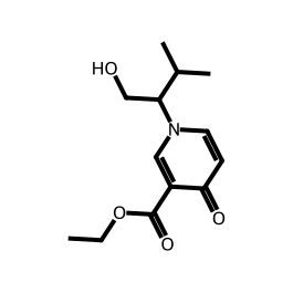 CCOC(=O)c1cn(C(CO)C(C)C)ccc1=O